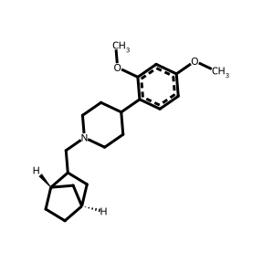 COc1ccc(C2CCN(CC3C[C@H]4CC[C@H]3C4)CC2)c(OC)c1